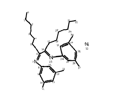 CCCCCCC(=Nc1cc(C)cc(C)c1)C(CCCCCC)=Nc1cc(C)cc(C)c1.[Ni]